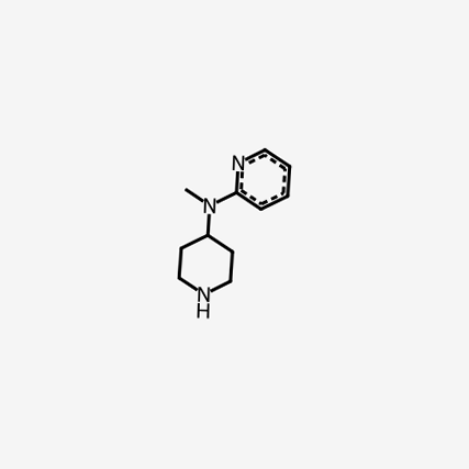 CN(c1ccccn1)C1CCNCC1